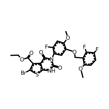 CCOC(=O)c1c(Br)sc2[nH]c(=O)n(-c3cc(OCc4c(OC)ccc(F)c4F)c(OC)cc3F)c(=O)c12